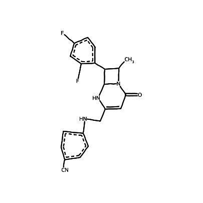 CC1C(c2ccc(F)cc2F)C2NC(CNc3ccc(C#N)cc3)=CC(=O)N12